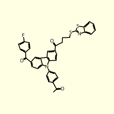 CC(=O)c1ccc(-n2c3ccc(C(=O)CCCSc4nc5ccccc5s4)cc3c3cc(C(=O)c4ccc(F)cc4)ccc32)cc1